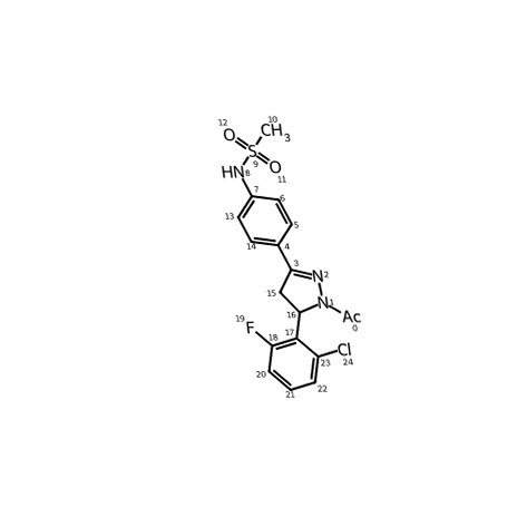 CC(=O)N1N=C(c2ccc(NS(C)(=O)=O)cc2)CC1c1c(F)cccc1Cl